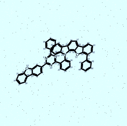 c1ccc(-c2nc(-c3ccc4c(c3)oc3ccccc34)nc(-c3ccccc3-n3c4ccccc4c4ccc5c6cccc(-c7ccccc7)c6oc5c43)n2)cc1